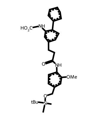 COc1cc(CO[Si](C)(C)C(C)(C)C)ccc1NC(=O)CCc1ccc(-c2ccccc2)c(NC(=O)O)c1